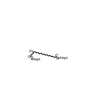 CCCCCCCOC(=O)CCCCCCCCCCCCCCC(CC)CCC(=O)OCCCCCCC